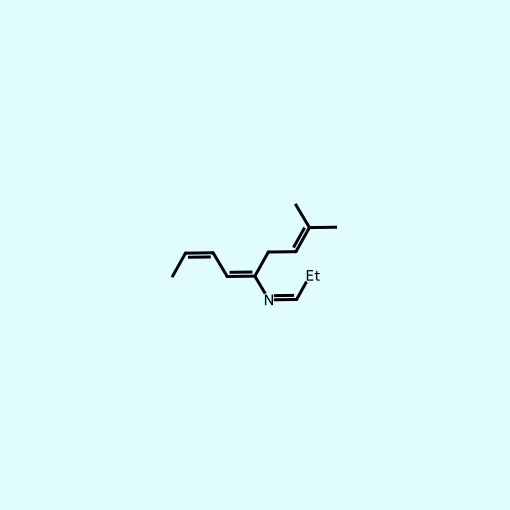 C\C=C/C=C(CC=C(C)C)/N=C\CC